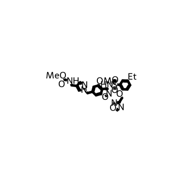 CCc1ccc(OCc2ncon2)c(S(=O)(=O)Nc2noc3cc(Cn4cc(CNC(=O)OC)cn4)cc(OC)c23)c1